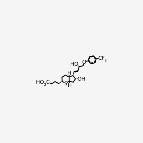 O=C(O)CCC[C@H]1CC[C@@H]2[C@@H](/C=C/[C@@H](O)COc3ccc(C(F)(F)F)cc3)[C@H](O)C[C@@H]2S1